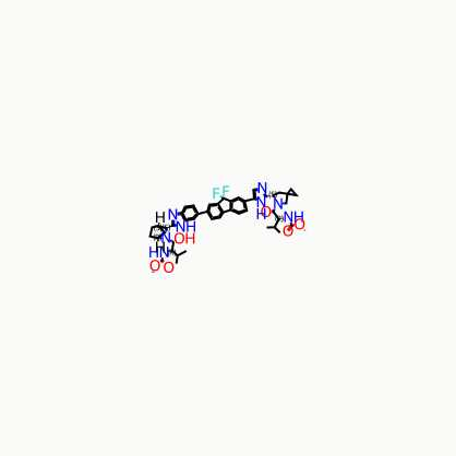 COC(=O)N[C@H](C(C)C)C(O)N1[C@@H]2CC[C@@H](C2)[C@H]1c1nc2ccc(-c3ccc4c(c3)C(F)(F)c3cc(-c5cnc([C@@H]6CC7(CC7)CN6C(=O)[C@H](NC(=O)OC)C(C)C)[nH]5)ccc3-4)cc2[nH]1